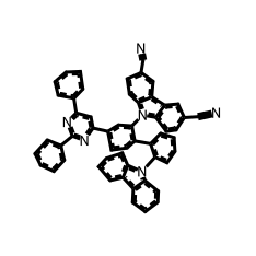 N#Cc1ccc2c(c1)c1cc(C#N)ccc1n2-c1cc(-c2cc(-c3ccccc3)nc(-c3ccccc3)n2)ccc1-c1ccccc1-n1c2ccccc2c2ccccc21